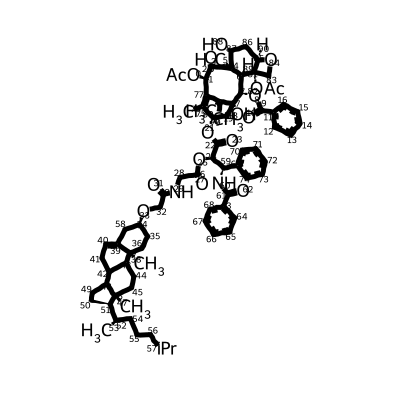 CC(=O)O[C@H]1C(=O)[C@@]2(C)[C@H]([C@H](OC(=O)c3ccccc3)[C@]3(O)C[C@H](OC(=O)[C@H](OC(=O)CNC(=O)CO[C@H]4CC[C@@]5(C)C(=CCC6C5CC[C@@]5(C)C6CC[C@@H]5[C@H](C)CCCC(C)C)C4)[C@@H](NC(=O)c4ccccc4)c4ccccc4)C(C)=C1C3(C)C)[C@]1(OC(C)=O)CO[C@@H]1C[C@@H]2O